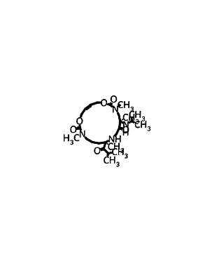 CC(C)N[C@]1(C)CN(C)C(=O)OCC=CCOC(=O)N(C)CCC[C@](C)(C(=O)C(C)C)NCC1=O